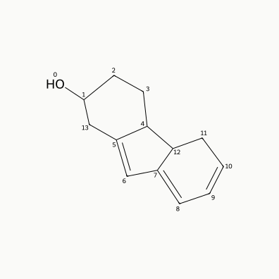 OC1CCC2C(=CC3=CC=CCC32)C1